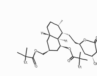 CCC(C)(C)C(=O)OC[C@H]1C[C@@H]2CC[C@H](C)[C@H](CC[C@@H]3C[C@@H](O)CC(=O)O3)[C@H]2[C@@H](OC(=O)C(C)(C)CC)C1